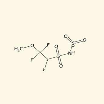 COC(F)(F)C(F)S(=O)(=O)N[SH](=O)=O